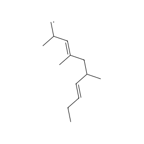 [CH2]C(C)/C=C(\C)CC(C)/C=C/CC